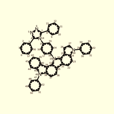 c1ccc(-c2nnc(-c3ccccc3)n2-c2ccc(-n3c4c(ccc5c4ccn5-c4ccccc4)c4ccc5c(c6ccccc6n5-c5ccccc5)c43)cc2)cc1